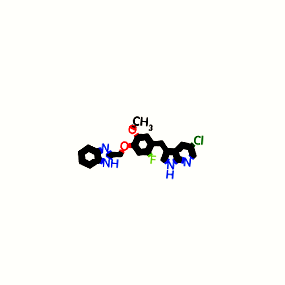 COc1cc(Cc2c[nH]c3ncc(Cl)cc23)c(F)cc1OCc1nc2ccccc2[nH]1